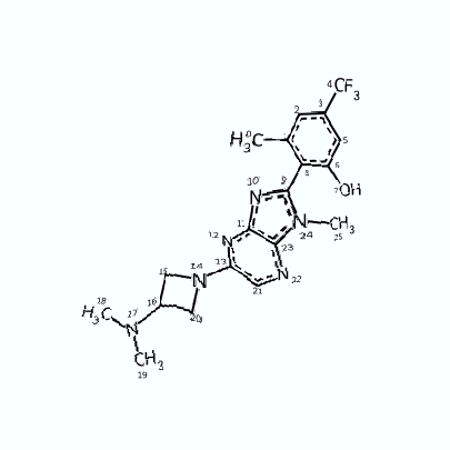 Cc1cc(C(F)(F)F)cc(O)c1-c1nc2nc(N3CC(N(C)C)C3)cnc2n1C